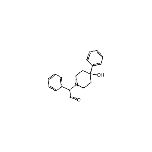 O=[C]C(c1ccccc1)N1CCC(O)(c2ccccc2)CC1